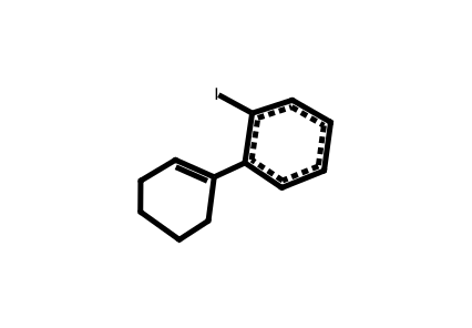 Ic1ccccc1C1=CCCCC1